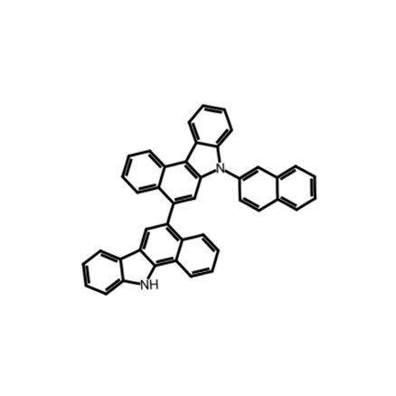 c1ccc2cc(-n3c4ccccc4c4c5ccccc5c(-c5cc6c7ccccc7[nH]c6c6ccccc56)cc43)ccc2c1